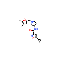 Cc1cc(CN2C[C@H](C)[C@H](NC(=O)c3cc(C4CC4)on3)C2)oc1C